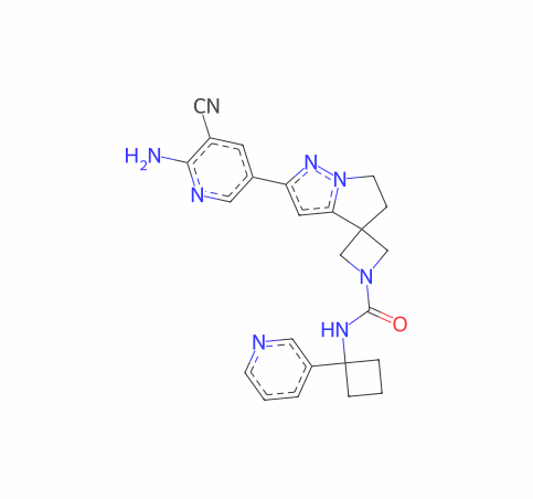 N#Cc1cc(-c2cc3n(n2)CCC32CN(C(=O)NC3(c4cccnc4)CCC3)C2)cnc1N